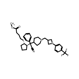 COC(=O)CCCC[C@H]1CCC[C@@H]1C(C#N)(c1ccccc1)C1CCN(CC2CN(c3ccc(C(F)(F)F)cc3)C2)CC1